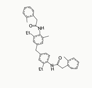 CCc1cc(Cc2cc(C)c(NC(=O)Cc3ccccc3C)c(CC)c2)ccc1NC(=O)Cc1ccccc1C